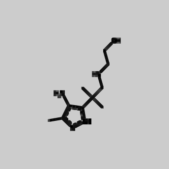 Cc1n[nH]c(C(C)(C)CNCCO)c1N